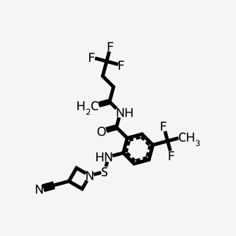 C=C(CCC(F)(F)F)NC(=O)c1cc(C(C)(F)F)ccc1NSN1CC(C#N)C1